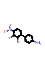 Nc1ccc(-c2ccc(N(Br)Br)c(Br)c2Br)cc1